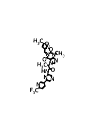 Cc1cc(Cn2c(=O)c3c(ncn3C(C)C(=O)Nc3cncc(-c4ccc(C(F)(F)F)nc4)n3)n(C)c2=O)no1